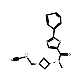 CN(C(=O)c1cnc(-c2ccccc2)s1)[C@H]1C[C@H](CNC#N)C1